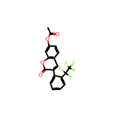 CC(=O)Oc1ccc2cc(-c3ccccc3C(F)(F)C(F)(F)F)c(=O)oc2c1